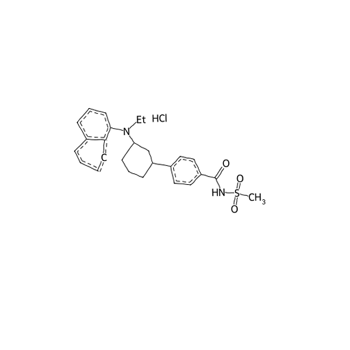 CCN(c1cccc2ccccc12)C1CCCC(c2ccc(C(=O)NS(C)(=O)=O)cc2)C1.Cl